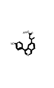 COC(=O)CC(C)c1ccc2cncc(-c3ccc(C#N)cc3)c2c1